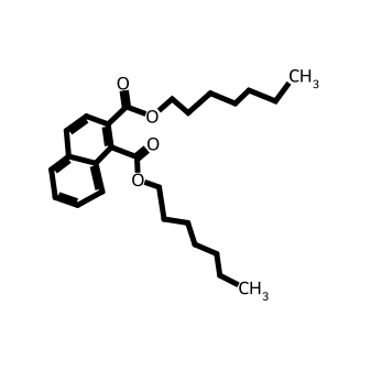 CCCCCCCOC(=O)c1ccc2ccccc2c1C(=O)OCCCCCCC